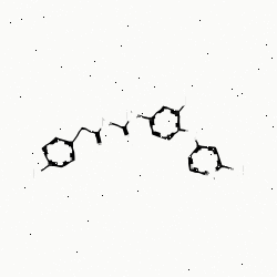 O=C(Cc1ccc(F)cc1)NC(=S)Nc1ccc(Oc2ccnc(Cl)c2)c(F)c1